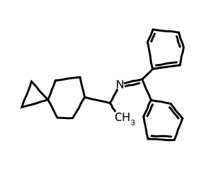 CC(N=C(c1ccccc1)c1ccccc1)C1CCC2(CC1)CC2